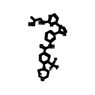 CC(O)CNc1nccc(-n2ccnc2-c2cccc(NC(=O)c3ccc(N4CCOCC4)c(C(F)(F)F)c3)c2)n1